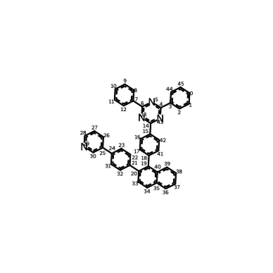 c1ccc(-c2nc(-c3ccccc3)nc(-c3ccc(-c4c(-c5ccc(-c6cccnc6)cc5)ccc5ccccc45)cc3)n2)cc1